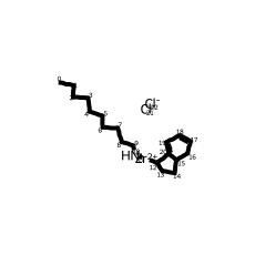 CCCCCCCCCC[NH][Zr+2][CH]1CCC2CC=CC=C21.[Cl-].[Cl-]